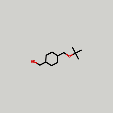 CC(C)(C)OCC1CCC(CO)CC1